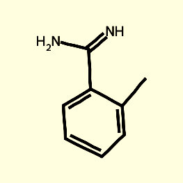 Cc1ccccc1C(=N)N